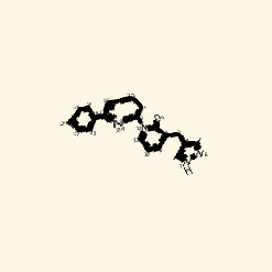 O=c1c(Cc2cn[nH]c2)cccn1-c1cccc(-c2ccccc2)n1